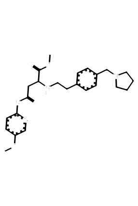 COC(=O)C(CC(=O)Nc1ccc(OC)cn1)NCCc1ccc(CN2CCCC2)cc1